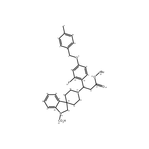 Cc1ccc(COc2ccc(C(CC(=O)OC(C)(C)C)N3CCC4(CC3)CN(C(=O)O)c3ccccc34)c(F)c2)cc1